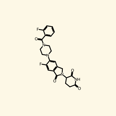 O=C1CCC(N2Cc3cc(N4CCN(C(=O)c5ccccc5F)CC4)c(F)cc3C2=O)C(=O)N1